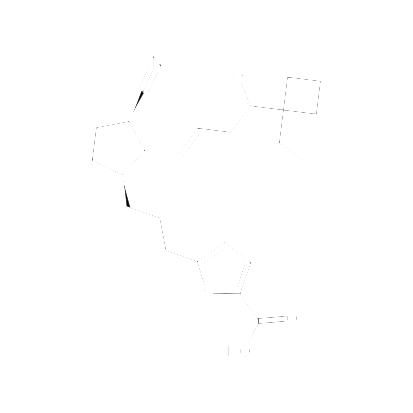 CCC1(C(O)CC=C[C@@H]2[C@@H](CCCc3ccc(C(=O)O)s3)CC[C@H]2C#N)CCC1